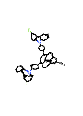 CC(C)(C)c1cc2ccc3c(-c4ccc(-n5c6ccccc6c6cc(F)ccc65)cc4)cc(-c4ccc(-n5c6ccccc6c6cc(F)ccc65)cc4)c4ccc(c1)c2c34